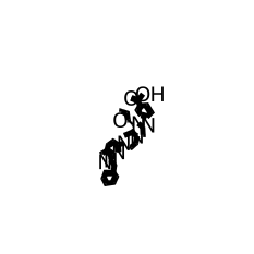 O=C(O)c1ccc2nc(CN3CCN(c4ccc5cnn(Cc6ccccc6)c5n4)CC3)n(C[C@@H]3CCO3)c2c1